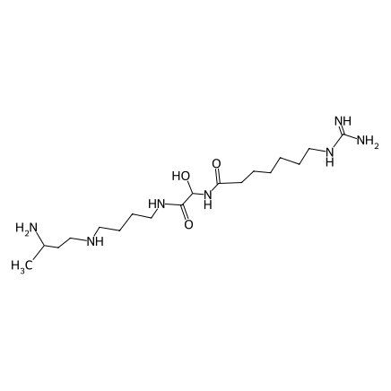 CC(N)CCNCCCCNC(=O)C(O)NC(=O)CCCCCCNC(=N)N